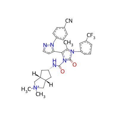 Cc1c(-c2ccnn2-c2ccc(C#N)cc2)n(C(=O)N[C@@H]2C[C@@H]3C[N+](C)(C)C[C@@H]3C2)c(=O)n1-c1cccc(C(F)(F)F)c1